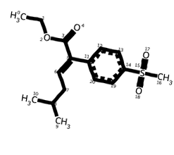 CCOC(=O)/C(=C/CC(C)C)c1ccc(S(C)(=O)=O)cc1